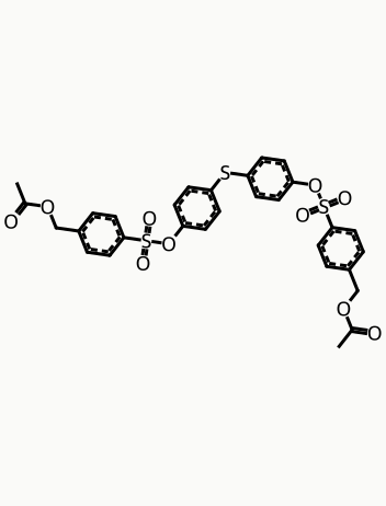 CC(=O)OCc1ccc(S(=O)(=O)Oc2ccc(Sc3ccc(OS(=O)(=O)c4ccc(COC(C)=O)cc4)cc3)cc2)cc1